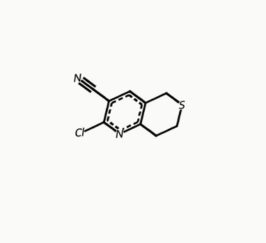 N#Cc1cc2c(nc1Cl)CCSC2